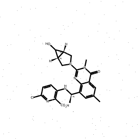 Cc1cc([C@@H](C)Nc2ccc(Cl)nc2C(=O)O)c2nc(N3C[C@@H]4C(O)[C@@H]4C3)n(C)c(=O)c2c1